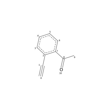 C#Cc1ccccc1C(C)=O